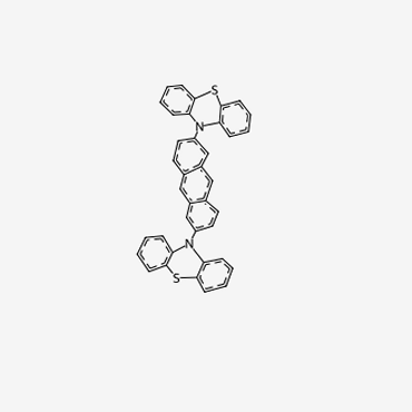 c1ccc2c(c1)Sc1ccccc1N2c1ccc2cc3cc(N4c5ccccc5Sc5ccccc54)ccc3cc2c1